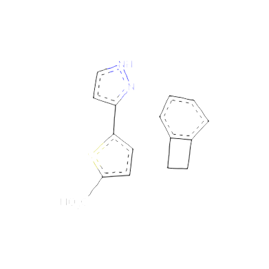 O=C(O)c1ccc(-c2cc[nH]n2)s1.c1ccc2c(c1)CC2